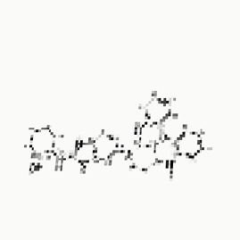 CN(C)C1CCN(c2ccc3nc(N[C@@H]4CCCC[C@H]4O)sc3c2)C(Oc2ccncc2)C1Oc1ccncc1